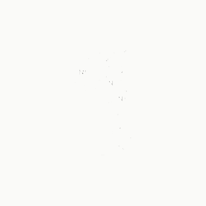 Oc1ccc(C=CCN2CCN(C3c4ccccc4CCc4ncccc43)CC2)cc1